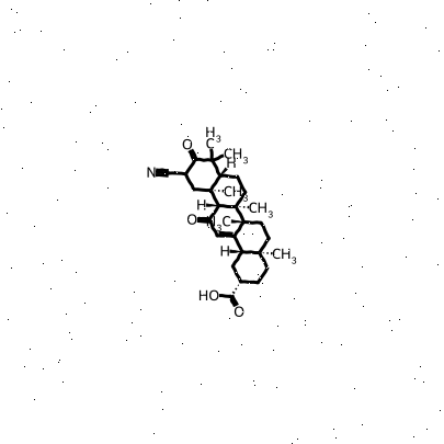 CC1(C)C(=O)C(C#N)C[C@]2(C)[C@H]3C(=O)C=C4[C@H]5C[C@@H](C(=O)O)CC[C@]5(C)CC[C@@]4(C)[C@]3(C)CC[C@@H]12